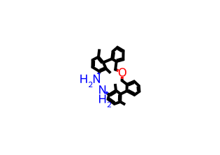 Cc1ccc(N)c(C)c1-c1ccccc1COCc1ccccc1-c1c(C)ccc(N)c1C